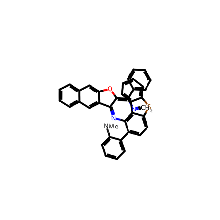 C=N/C(=C1/Oc2cc3ccccc3cc2/C1=N/c1c(-c2ccccc2NC)ccc2sc3ccccc3c12)c1ccccc1